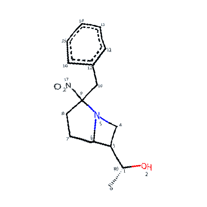 C[C@@H](O)C1CN2C1CCC2(Cc1ccccc1)[N+](=O)[O-]